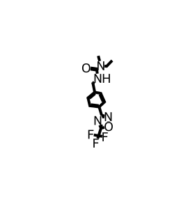 CCN(C)C(=O)NCc1ccc(-c2noc(C(F)(F)F)n2)cc1